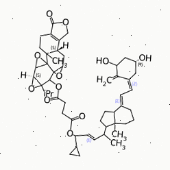 C=C1/C(=C\C=C2/CCCC3(C)C2CCC3C(C)/C=C/C(OC(=O)CCC(=O)OC2C3(C(C)C)O[C@H]3C3OC34C23OC3C[C@H]2C3=C(CCC24C)C(=O)OC3)C2CC2)C[C@@H](O)CC1O